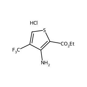 CCOC(=O)c1scc(C(F)(F)F)c1N.Cl